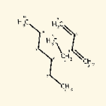 C=CC=C.CC.CCCCCC